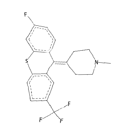 CN1CCC(=C2c3ccc(F)cc3Sc3ccc(C(F)(F)F)cc32)CC1